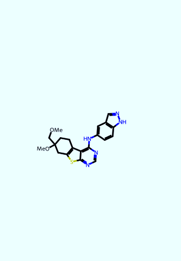 COCC1(OC)CCc2c(sc3ncnc(Nc4ccc5[nH]ncc5c4)c23)C1